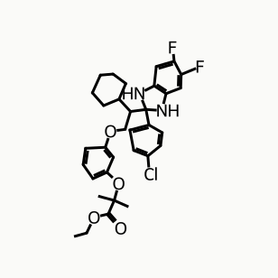 CCOC(=O)C(C)(C)Oc1cccc(OCC(C2CCCCC2)C2(c3ccc(Cl)cc3)Nc3cc(F)c(F)cc3N2)c1